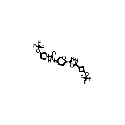 O=C(N[C@@H]1CC[C@@H](c2nnc(C3CC(OC(F)(F)F)C3)o2)OC1)N1CCC(OC(F)(F)F)C1